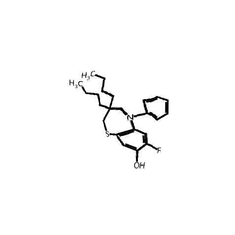 CCCCC1(CCCC)CSc2cc(O)c(F)cc2N(c2ccccc2)C1